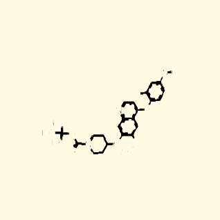 COc1cc2c(Oc3ccc([N+](=O)[O-])cc3F)ccnc2cc1OC1CCN(C(=O)OC(C)(C)C)CC1